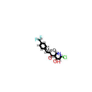 COc1nc(Cl)cc(O)c1C(=O)/C=C/c1ccc(C(F)F)cc1